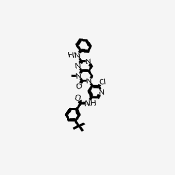 CN1C(=O)N(c2cc(NC(=O)c3cccc(C(C)(C)C)c3)cnc2Cl)Cc2cnc(Nc3ccccc3)nc21